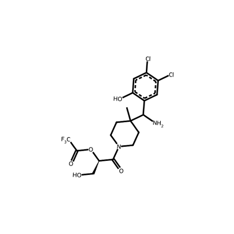 CC1(C(N)c2cc(Cl)c(Cl)cc2O)CCN(C(=O)[C@@H](CO)OC(=O)C(F)(F)F)CC1